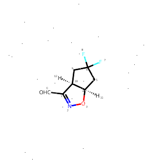 O=CC1=NO[C@@H]2CC(F)(F)C[C@H]12